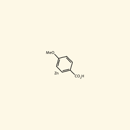 COc1ccc(C(=O)O)cc1.[Zn]